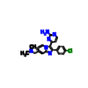 CN(C)Cc1ccn2c(-c3ccnc(N)n3)c(-c3ccc(Cl)cc3)nc2c1